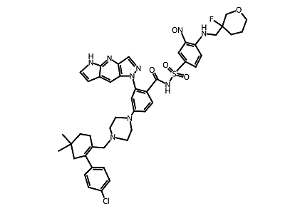 CC1(C)CCC(CN2CCN(c3ccc(C(=O)NS(=O)(=O)c4ccc(NCC5(F)CCCOC5)c(N=O)c4)c(-n4ncc5nc6[nH]ccc6cc54)c3)CC2)=C(c2ccc(Cl)cc2)C1